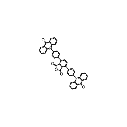 O=C1OC(=O)c2c(-c3ccc(-n4c5ccccc5c(=O)c5ccccc54)cc3)ccc(-c3ccc(-n4c5ccccc5c(=O)c5ccccc54)cc3)c21